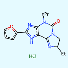 CCCN1C(=O)N2CC(CC)N=C2c2[nH]c(-c3ccco3)nc21.Cl